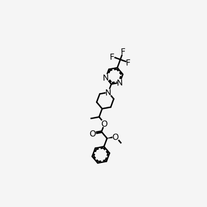 CO[C@H](C(=O)OC(C)C1CCN(c2ncc(C(F)(F)F)cn2)CC1)c1ccccc1